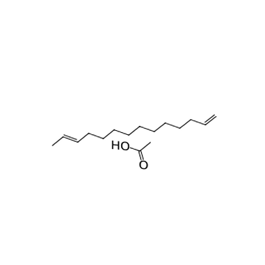 C=CCCCCCCCCCC=CC.CC(=O)O